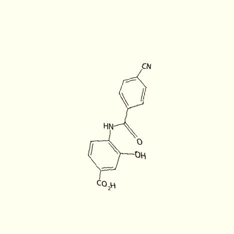 N#Cc1ccc(C(=O)Nc2ccc(C(=O)O)cc2O)cc1